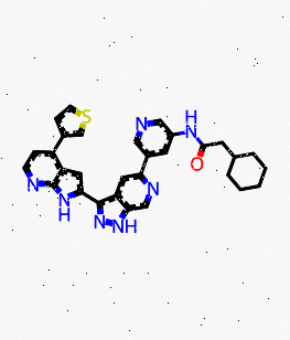 O=C(CC1CCCCC1)Nc1cncc(-c2cc3c(-c4cc5c(-c6ccsc6)ccnc5[nH]4)n[nH]c3cn2)c1